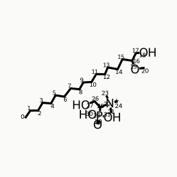 CCCCCCCCCCCCCCCCC(CO)OC.C[N+](C)(C)C(CO)P(=O)(O)O